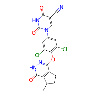 CC1CCc2c(Oc3c(Cl)cc(-n4cc(C#N)c(=O)[nH]c4=O)cc3Cl)n[nH]c(=O)c21